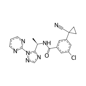 C[C@@H](NC(=O)c1cc(Cl)cc(C2(C#N)CC2)c1)c1ncnn1-c1ncccn1